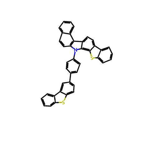 c1ccc2c(c1)ccc1c2c2ccc3c4ccccc4sc3c2n1-c1ccc(-c2ccc3sc4ccccc4c3c2)cc1